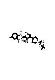 Cc1ccc(Nc2ncnc3c(C4CCN(C(=O)OC(C)(C)C)CC4)coc23)c(F)c1